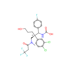 CN(C[C@](CCCO)(c1ccc(Cl)c(Cl)c1)C(NC(=O)O)c1ccc(F)cc1)C(=O)CC(F)(F)F